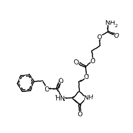 NC(=O)OCCOC(=O)OCC1NC(=O)C1NC(=O)OCc1ccccc1